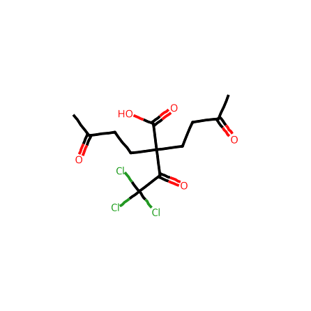 CC(=O)CCC(CCC(C)=O)(C(=O)O)C(=O)C(Cl)(Cl)Cl